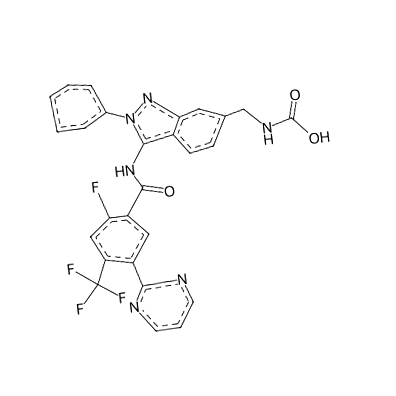 O=C(O)NCc1ccc2c(NC(=O)c3cc(-c4ncccn4)c(C(F)(F)F)cc3F)n(-c3ccccc3)nc2c1